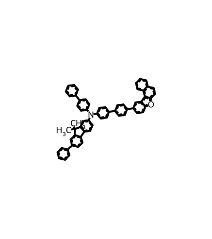 CC1(C)c2cc(-c3ccccc3)ccc2-c2ccc(N(c3ccc(-c4ccccc4)cc3)c3ccc(-c4ccc(-c5ccc6oc7ccc8ccccc8c7c6c5)cc4)cc3)cc21